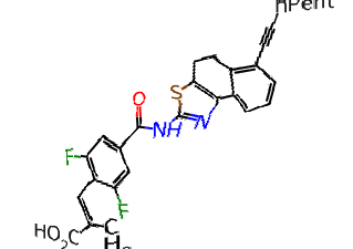 CCCCCC#Cc1cccc2c1CCc1sc(NC(=O)c3cc(F)c(C=C(C)C(=O)O)c(F)c3)nc1-2